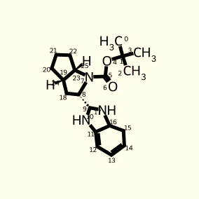 CC(C)(C)OC(=O)N1[C@H](C2NC3=CC=CCC3N2)C[C@@H]2CCC[C@@H]21